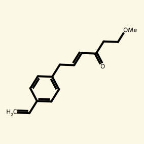 C=Cc1ccc(C/C=C/C(=O)CCOC)cc1